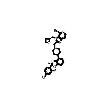 C[C@]1(c2ccc(Cl)cc2F)Oc2cccc(C3CCN(Cc4nc5ccnc(Br)c5n4C[C@@H]4CCO4)CC3)c2O1